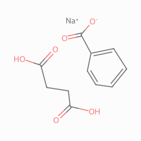 O=C(O)CCC(=O)O.O=C([O-])c1ccccc1.[Na+]